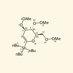 CCC[CH2][Sn]([CH2]CCC)([CH2]CCC)[C]1=C[C@@H](OOC)[C@H](OOC)[C@@H](COOC)O1